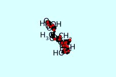 C#Cc1c(F)ccc2cc(O)cc(-c3ncc4c(N5CC6CCC(C5)N6)nc(OC[C@@]56CC[C@@H](COC(=O)N(C)CCCc7ccc8c(c7)C(=O)N(C7CCC(=O)NC7=O)C8O)N5CC(=C)C6)nc4c3F)c12